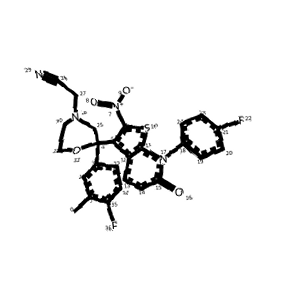 Cc1cc(C2(c3c([N+](=O)[O-])sc4c3ccc(=O)n4-c3ccc(F)cc3)CN(CC#N)CCO2)ccc1F